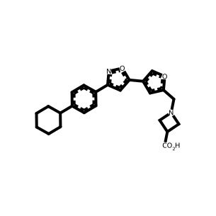 O=C(O)C1CN(Cc2cc(-c3cc(-c4ccc(C5CCCCC5)cc4)no3)co2)C1